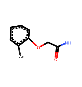 CC(=O)c1ccccc1OCC([NH])=O